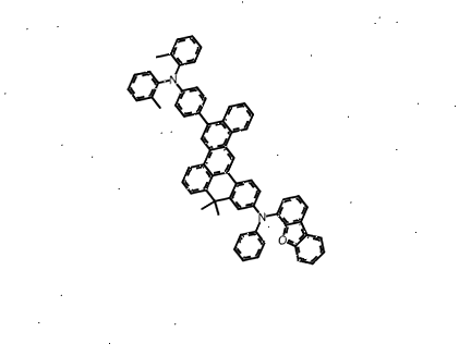 Cc1ccccc1N(c1ccc(-c2cc3c4cccc5c4c(cc3c3ccccc23)-c2ccc(N(c3ccccc3)c3cccc4c3oc3ccccc34)cc2C5(C)C)cc1)c1ccccc1C